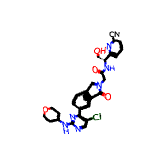 N#Cc1cccc([C@@H](CO)NC(=O)CN2Cc3ccc(-c4nc(NC5CCOCC5)ncc4Cl)cc3C2=O)n1